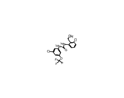 O=C(Nc1cc(Cl)cc(OC(F)(F)F)c1)Nc1cccc(Cl)c1CO